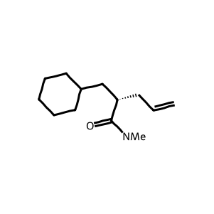 C=CC[C@@H](CC1CCCCC1)C(=O)NC